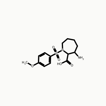 COc1ccc(S(=O)(=O)N2CCCCC(N)C2C(=O)O)cc1